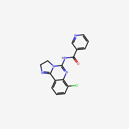 O=C(NC1=Nc2c(Cl)cccc2C2=NCCN12)c1cccnc1